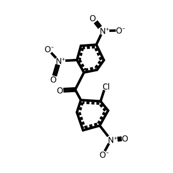 O=C(c1ccc([N+](=O)[O-])cc1Cl)c1ccc([N+](=O)[O-])cc1[N+](=O)[O-]